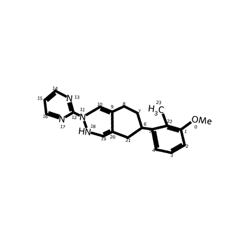 COc1cccc(C2CCC3=CN(c4ncccn4)NC=C3C2)c1C